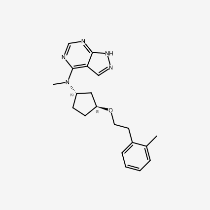 Cc1ccccc1CCO[C@H]1CC[C@H](N(C)c2ncnc3[nH]ncc23)C1